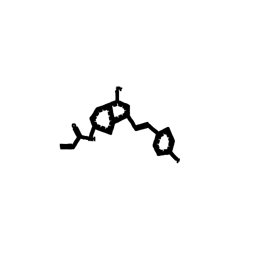 C=CC(=O)Nc1ccc2c(c1)c(/C=C/c1ccc(F)cc1)cn2C(C)C